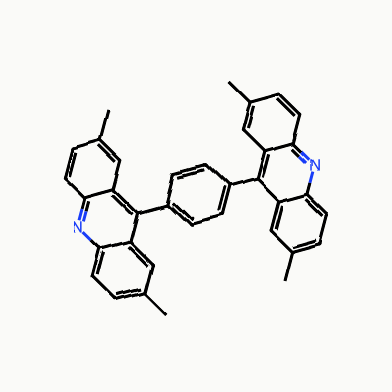 Cc1ccc2nc3ccc(C)cc3c(-c3ccc(-c4c5cc(C)ccc5nc5ccc(C)cc45)cc3)c2c1